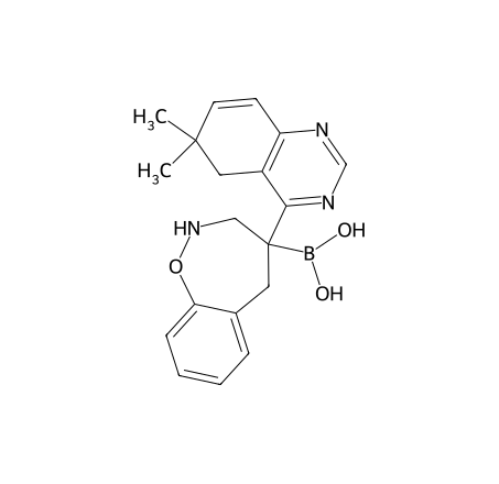 CC1(C)C=Cc2ncnc(C3(B(O)O)CNOc4ccccc4C3)c2C1